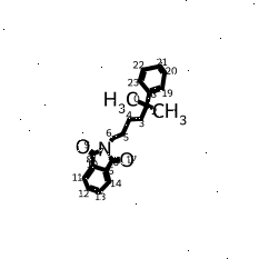 CC(C)(CCCCN1C(=O)c2ccccc2C1=O)c1ccccc1